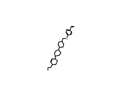 C=Cc1ccc(OCC2CCC(C3CCC(C4C=CC(CCC)CC4)CC3)CC2)cc1